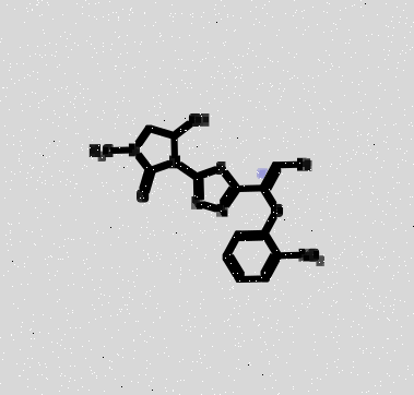 CC/C=C(\Oc1ccccc1[N+](=O)[O-])c1nnc(N2C(=O)N(C)CC2O)s1